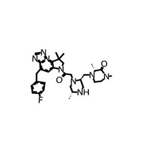 C[C@@H]1CN(CC(=O)N2CC(C)(C)c3c2cc(Cc2ccc(F)cc2)c2ncnn32)[C@@H](CN2CCN(C)C(=O)[C@H]2C)CN1